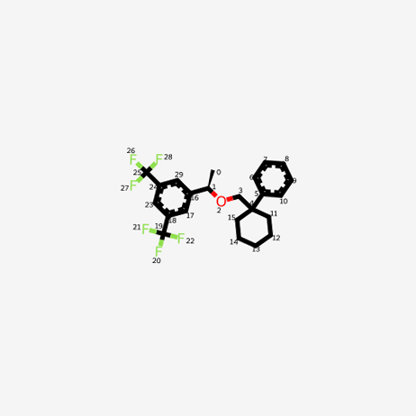 C[C@@H](OCC1(c2ccccc2)CCCCC1)c1cc(C(F)(F)F)cc(C(F)(F)F)c1